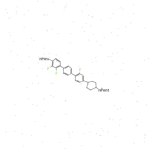 CCCCCCc1ccc(-c2ccc(-c3ccc(C4CCC(CCCCC)CC4)cc3F)cc2)c(F)c1F